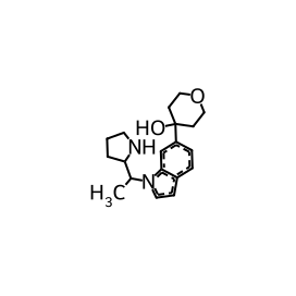 CC(C1CCCN1)n1ccc2ccc(C3(O)CCOCC3)cc21